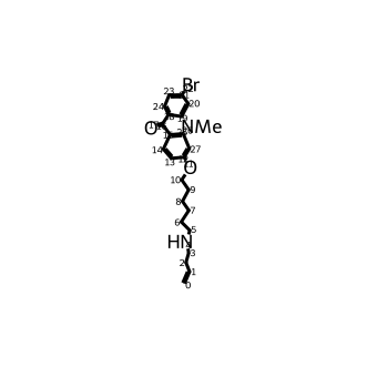 C=CCCNCCCCCCOc1ccc(C(=O)c2ccc(Br)cc2)c(NC)c1